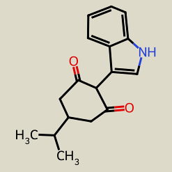 CC(C)C1CC(=O)C(c2c[nH]c3ccccc23)C(=O)C1